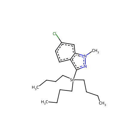 CCC[CH2][Sn]([CH2]CCC)([CH2]CCC)[c]1nn(C)c2cc(Cl)ccc12